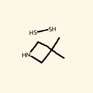 CC1(C)CNC1.SS